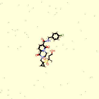 C[C@H](CCO)S(=O)(=O)C1(CN2CCn3c(ccc(C(=O)NCc4ccc(Cl)cc4)c3=O)C2=O)CC1